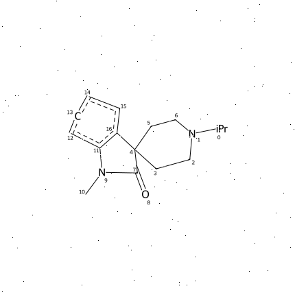 CC(C)N1CCC2(CC1)C(=O)N(C)c1ccccc12